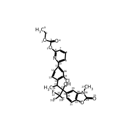 CCOC(=O)Oc1cccc(-c2ccc(C(C)C(O)(c3ccc4oc(=O)n(C)c4c3)C(F)(F)F)c(Cl)c2)n1